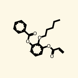 C=CC(=O)Oc1cc[c]c(OC(=O)c2ccccc2)c1OCCCCC